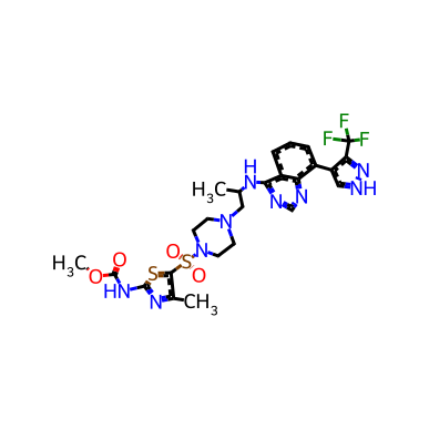 COC(=O)Nc1nc(C)c(S(=O)(=O)N2CCN(CC(C)Nc3ncnc4c(-c5c[nH]nc5C(F)(F)F)cccc34)CC2)s1